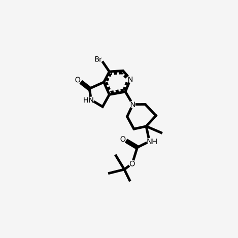 CC1(NC(=O)OC(C)(C)C)CCN(c2ncc(Br)c3c2CNC3=O)CC1